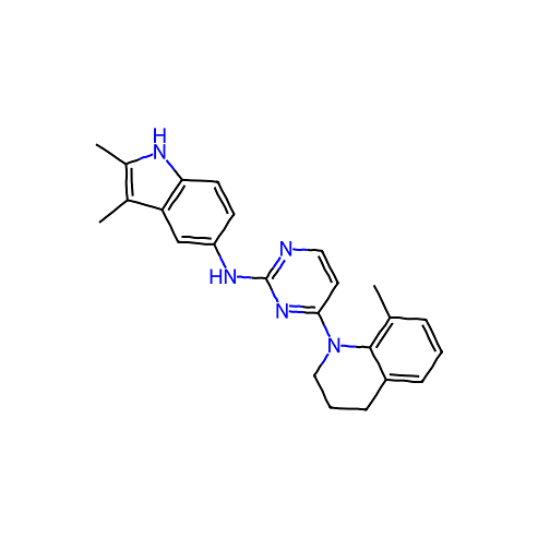 Cc1cccc2c1N(c1ccnc(Nc3ccc4[nH]c(C)c(C)c4c3)n1)CCC2